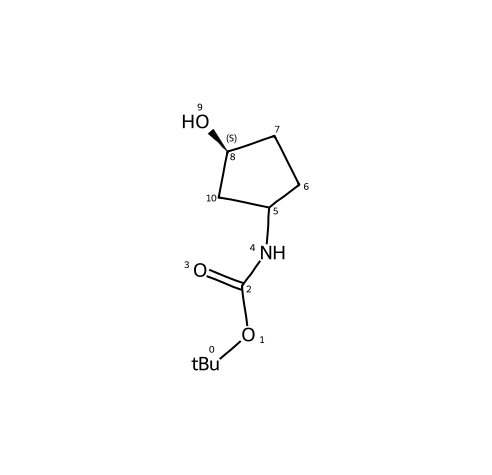 CC(C)(C)OC(=O)NC1CC[C@H](O)C1